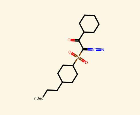 CCCCCCCCCCCCC1CCC(S(=O)(=O)C(=[N+]=[N-])C(=O)C2CCCCC2)CC1